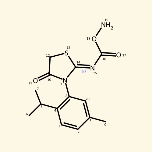 Cc1ccc(C(C)C)c(N2C(=O)CS/C2=N\C(=O)ON)c1